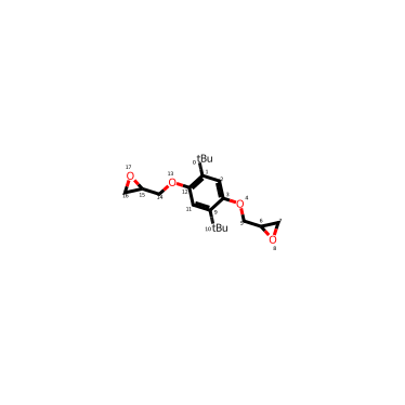 CC(C)(C)c1cc(OCC2CO2)c(C(C)(C)C)cc1OCC1CO1